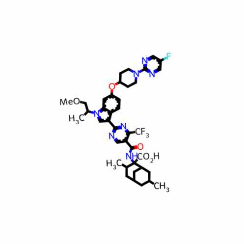 COCC(C)n1cc(-c2ncc(C(=O)NC3(C(=O)O)C(C)CC4CC(C)CC3C4)c(C(F)(F)F)n2)c2ccc(OC3CCN(c4ncc(F)cn4)CC3)cc21